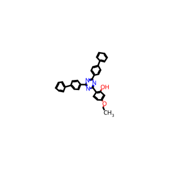 CCOc1ccc(-c2nc(-c3ccc(-c4ccccc4)cc3)nc(-c3ccc(-c4ccccc4)cc3)n2)c(O)c1